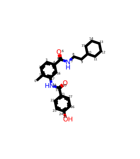 Cc1ccc(C(=O)NCCC2CCCCC2)cc1NC(=O)c1ccc(O)cc1